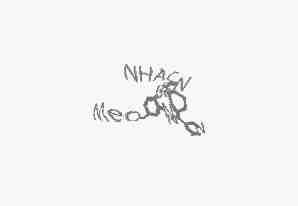 COCc1ccc(Br)c(-n2nc(-c3cccnc3)c3c2-c2sc(NC(C)=O)nc2CC3)c1